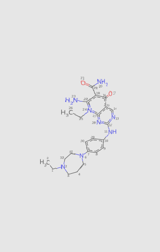 CCN1CCCN(c2ccc(Nc3ncc4c(=O)c(C(N)=O)c(N)n(CC)c4n3)cc2)CC1